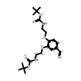 CC(C)(C)OC(=O)NCCOc1ccc(C=O)cc1OCCNC(=O)OC(C)(C)C